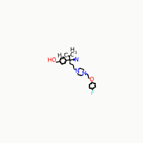 CC(C)C(C#N)(CCCN1CCN(CCOc2ccc(F)cc2)CC1)c1ccc(CO)cc1